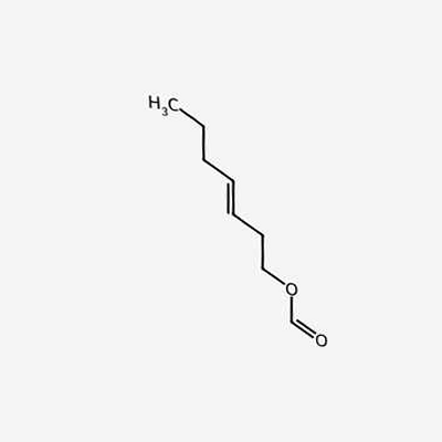 CCCC=CCCOC=O